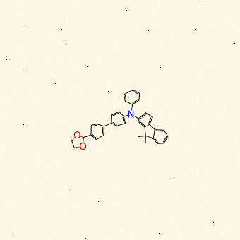 CC1(C)c2ccccc2-c2ccc(N(c3ccccc3)c3ccc(-c4ccc(C5OCCO5)cc4)cc3)cc21